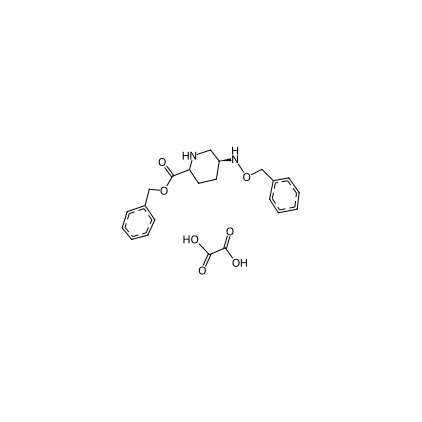 O=C(O)C(=O)O.O=C(OCc1ccccc1)C1CC[C@H](NOCc2ccccc2)CN1